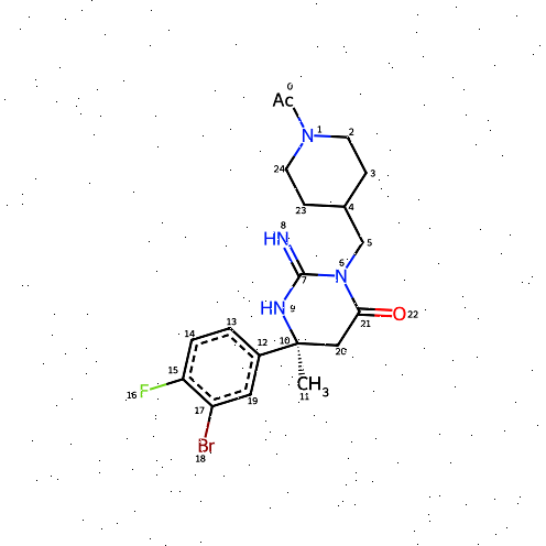 CC(=O)N1CCC(CN2C(=N)N[C@](C)(c3ccc(F)c(Br)c3)CC2=O)CC1